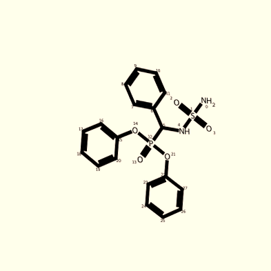 NS(=O)(=O)NC(c1ccccc1)P(=O)(Oc1ccccc1)Oc1ccccc1